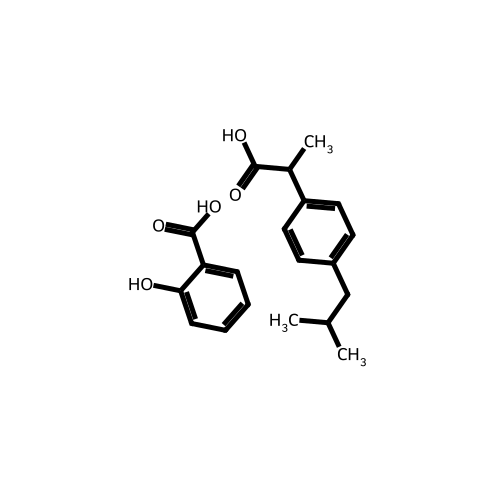 CC(C)Cc1ccc(C(C)C(=O)O)cc1.O=C(O)c1ccccc1O